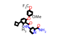 COc1cc(OC(F)(F)F)ccc1Oc1ccc(C2CCC2)c(C)c1C(=O)Nc1ccnc(C(N)=O)c1